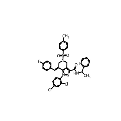 Cc1ccc(S(=O)(=O)N2C/C(=C\c3ccc(F)cc3)c3c(c(C(=O)NC(C)c4ccccn4)nn3-c3ccc(Cl)cc3Cl)C2)cc1